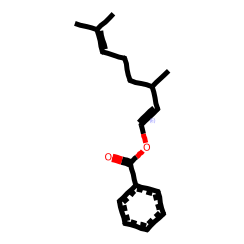 CC(C)=CCCC(C)/C=C/OC(=O)c1ccccc1